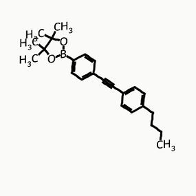 CCCCc1ccc(C#Cc2ccc(B3OC(C)(C)C(C)(C)O3)cc2)cc1